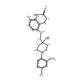 Cc1cc(Cl)ccc1N1CCC(O)(COc2ccc(F)c3c2CCC(=O)N3)CC1